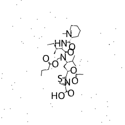 CCCC(=O)OCN(C(=O)[C@@H](NC(=O)[C@H]1CCCCN1C)[C@@H](C)CC)[C@H](C[C@@H](OC(C)=O)c1nc(C(=O)O)cs1)C(C)C